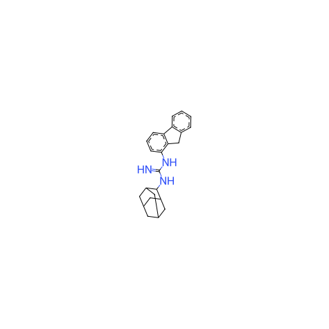 N=C(Nc1cccc2c1Cc1ccccc1-2)NC1C2CC3CC(C2)CC1C3